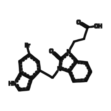 O=C(O)CCn1c(=O)n(Cc2cc(Br)cc3[nH]ccc23)c2ccccc21